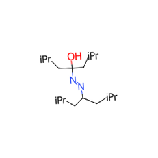 CC(C)CC(CC(C)C)N=NC(O)(CC(C)C)CC(C)C